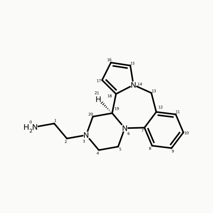 NCCN1CCN2c3ccccc3Cn3cccc3[C@@H]2C1